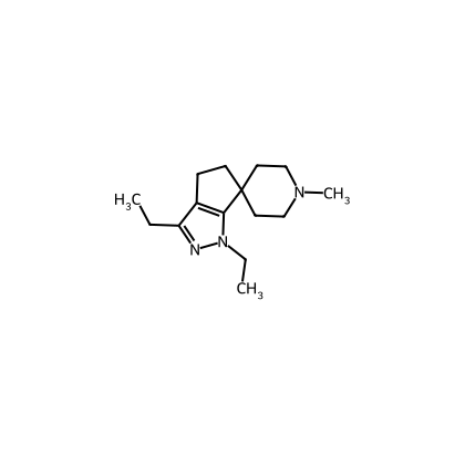 CCc1nn(CC)c2c1CCC21CCN(C)CC1